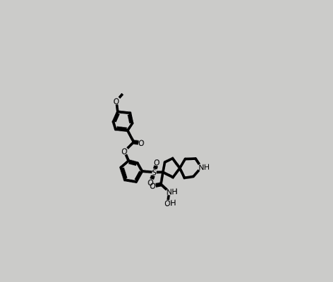 COc1ccc(C(=O)Oc2cccc(S(=O)(=O)C3(C(=O)NO)CCC4(CCNCC4)C3)c2)cc1